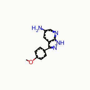 COc1ccc(-c2n[nH]c3ncc(N)cc23)cc1